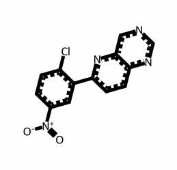 O=[N+]([O-])c1ccc(Cl)c(-c2ccc3ncncc3n2)c1